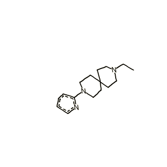 CCN1CCC2(CC1)CCN(c1ccccn1)CC2